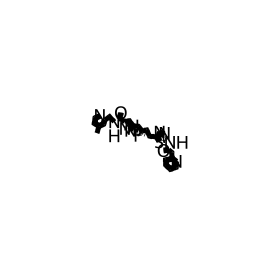 Cc1ccnc(CNC(=O)c2cn(C[C@H](F)CCc3nnc(NC(=O)Cc4ccccn4)s3)nn2)c1